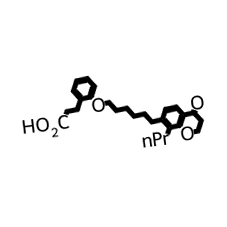 CCCc1c(CCCCCCOc2ccccc2CCC(=O)O)ccc2c1OCCC2=O